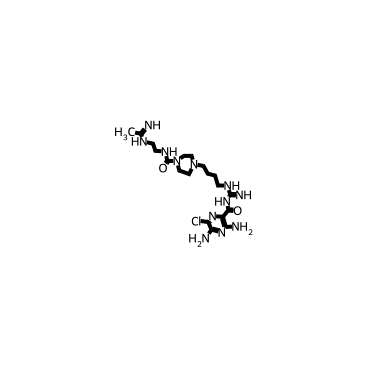 CC(=N)NCCNC(=O)N1CCN(CCCCNC(=N)NC(=O)c2nc(Cl)c(N)nc2N)CC1